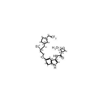 CC[C@H](CCOc1ccc2[nH]cc(NC(=O)[C@@H]3CO[C@H]3C)c2c1)C[C@H]1CCN(CC(F)(F)F)C1